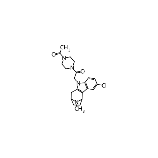 CC(=O)N1CCN(C(=O)Cn2c3c(c4cc(Cl)ccc42)C2CCC(C3)N2C)CC1